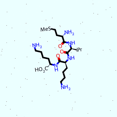 CSCC[C@H](N)C(=O)N[C@H](C(=O)N[C@@H](CCCCN)C(=O)N[C@@H](CCCCN)C(=O)O)C(C)C